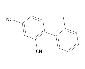 Cc1ccccc1-c1ccc(C#N)cc1C#N